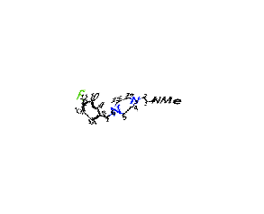 CNCCN1CCN(Cc2ccc(F)cc2)CC1